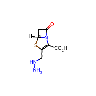 NNCC1=C(C(=O)O)N2C(=O)C[C@H]2S1